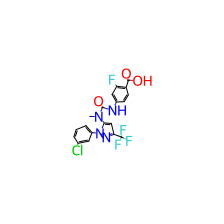 CN(C(=O)Nc1ccc(C(=O)O)c(F)c1)c1cc(C(F)(F)F)nn1-c1cccc(Cl)c1